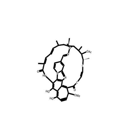 COC1C#CC(O)=c2c(O)c3c4c(nc5cc(/C=N/N(C)C)ccn54)c2=C1C(=O)C/C=C/C[C@@H](C)C(OC(C)=O)C(C)C[C@H](C)CC(C)/C=C/C=C(/C)C(=O)N3